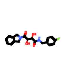 O=C(NCc1ccc(F)cc1)[C@H](O)[C@@H](O)C(=O)N1Cc2ccccc2C1